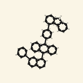 c1ccc(-c2ccc3cccc(-c4c5ccccc5c(-c5ccc(-c6cccc7oc8ccccc8c67)cc5)c5ccccc45)c3c2)cc1